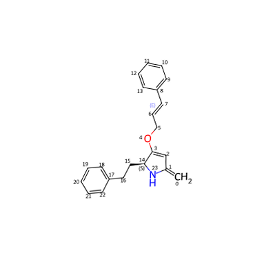 C=C1C=C(OC/C=C/c2ccccc2)[C@H](CCc2ccccc2)N1